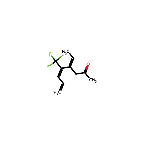 C=C/C=C(\C(=C/C)CC(C)=O)C(F)(F)F